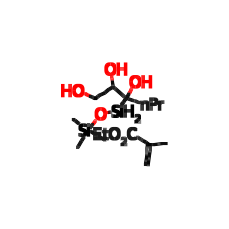 C=C(C)C(=O)OCC.CCCC(O)([SiH2]O[Si](C)(C)C)C(O)CO